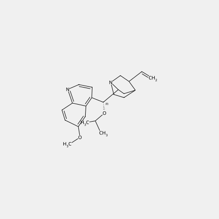 C=CC1CN2CCC1CC2[C@H](OC(C)C)c1ccnc2ccc(OC)cc12